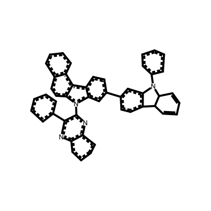 C1=CC2c3ccc(-c4ccc5c6c7ccccc7ccc6n(-c6nc7ccccc7nc6-c6ccccc6)c5c4)cc3N(c3ccccc3)C2C=C1